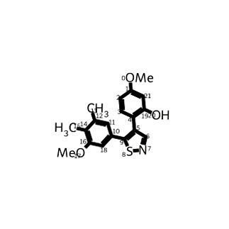 COc1ccc(-c2cnsc2-c2cc(C)c(C)c(OC)c2)c(O)c1